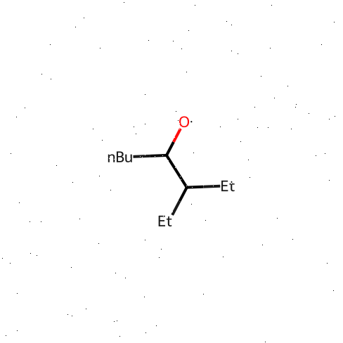 CCCCC([O])C(CC)CC